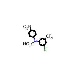 O=C(O)N(c1ccc([N+](=O)[O-])cc1)c1cc(Cl)cc(C(F)(F)F)c1